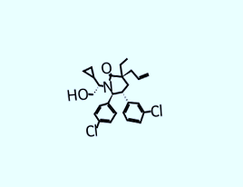 C=CC[C@@]1(CC)C[C@H](c2cccc(Cl)c2)[C@@H](c2ccc(Cl)cc2)N([C@H](CO)C2CC2)C1=O